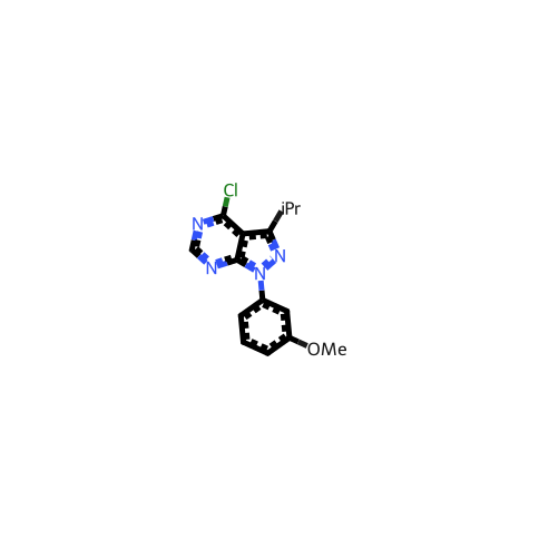 COc1cccc(-n2nc(C(C)C)c3c(Cl)ncnc32)c1